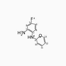 Nc1cc(F)ccc1NC1C=CC=CO1